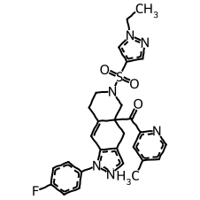 CCn1cc(S(=O)(=O)N2CCC3=Cc4c(cnn4-c4ccc(F)cc4)CC3(C(=O)c3cc(C)ccn3)C2)cn1